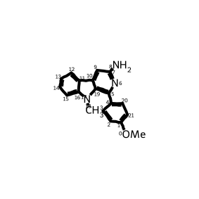 COc1ccc(-c2nc(N)cc3c4ccccc4n(C)c23)cc1